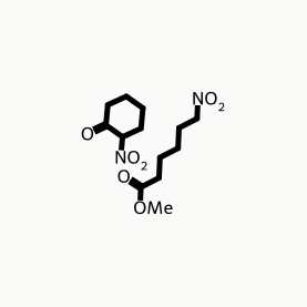 COC(=O)CCCCC[N+](=O)[O-].O=C1CCCCC1[N+](=O)[O-]